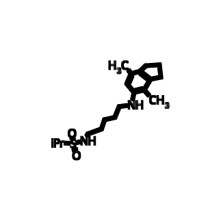 Cc1cc(NCCCCCNS(=O)(=O)C(C)C)c(C)c2c1CCC2